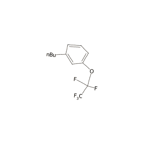 CCCCc1cccc(OC(F)(F)C(F)(F)F)c1